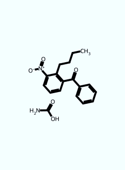 CCCCc1c(C(=O)c2ccccc2)cccc1[N+](=O)[O-].NC(=O)O